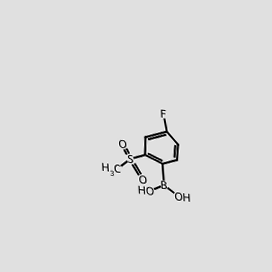 CS(=O)(=O)c1cc(F)ccc1B(O)O